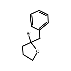 BrC1(Cc2ccccc2)CCCO1